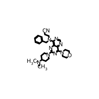 CN(C)C1CCN(c2nc(N3CCOCC3)c3ncnc(N(CCC#N)Cc4ccccc4)c3n2)CC1